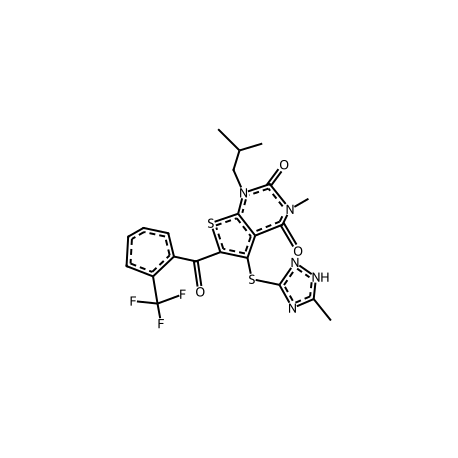 Cc1nc(Sc2c(C(=O)c3ccccc3C(F)(F)F)sc3c2c(=O)n(C)c(=O)n3CC(C)C)n[nH]1